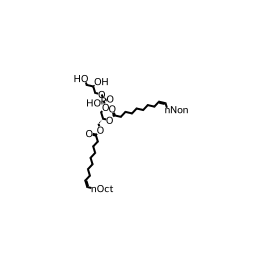 CCCCCCCC/C=C\CCCCCCCC(=O)OC[C@H](COP(=O)(O)OC[C@@H](O)CO)OC(=O)CCCCCCC/C=C\CCCCCCCCC